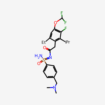 CCc1cc(OC(F)F)c(F)c(C(C)C)c1CC(=O)N=S(N)(=O)c1ccc(CN(C)C)cc1